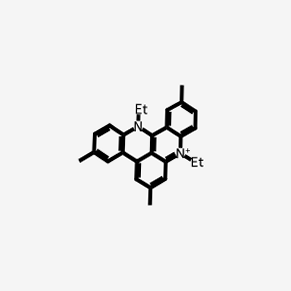 CCN1c2ccc(C)cc2-c2cc(C)cc3c2c1c1cc(C)ccc1[n+]3CC